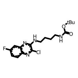 CC(C)(C)OC(=O)NCCCCNc1nc2cc(F)ccc2nc1Cl